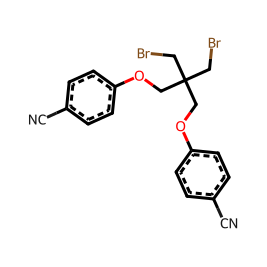 N#Cc1ccc(OCC(CBr)(CBr)COc2ccc(C#N)cc2)cc1